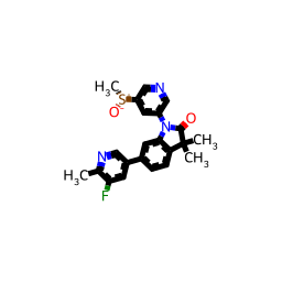 Cc1ncc(-c2ccc3c(c2)N(c2cncc([S+](C)[O-])c2)C(=O)C3(C)C)cc1F